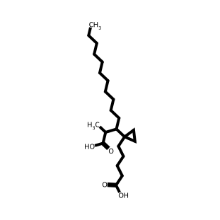 CCCCCCCCCCCC(C(C)C(=O)O)C1(CCCCC(=O)O)CC1